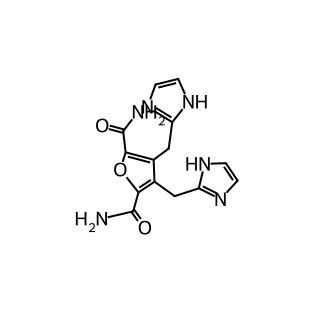 NC(=O)c1oc(C(N)=O)c(Cc2ncc[nH]2)c1Cc1ncc[nH]1